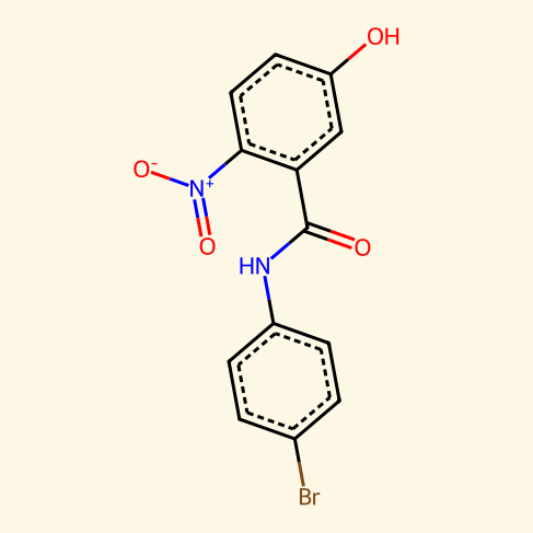 O=C(Nc1ccc(Br)cc1)c1cc(O)ccc1[N+](=O)[O-]